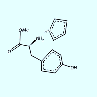 COC(=O)[C@@H](N)Cc1ccc(O)cc1.c1cc[nH]c1